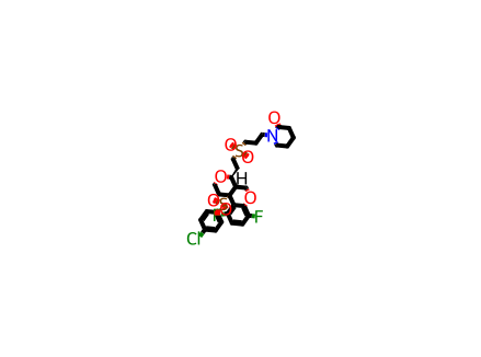 O=C1CCCCN1CCCS(=O)(=O)CC[C@@H]1OCC[C@@]2(S(=O)(=O)c3ccc(Cl)cc3)c3c(F)ccc(F)c3OC[C@@H]12